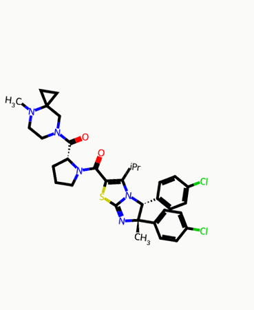 CC(C)C1=C(C(=O)N2CCC[C@@H]2C(=O)N2CCN(C)C3(CC3)C2)SC2=N[C@@](C)(c3ccc(Cl)cc3)[C@@H](c3ccc(Cl)cc3)N21